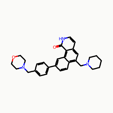 O=c1[nH]ccc2cc(CN3CCCCC3)c3ccc(-c4ccc(CN5CCOCC5)cc4)cc3c12